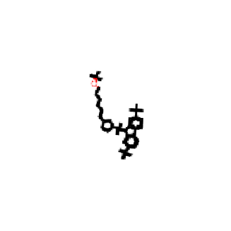 CC(C)(C)OCCCCCCC1CCC(C(C)(C)C2c3cc(C(C)(C)C)ccc3-c3ccc(C(C)(C)C)cc32)C1